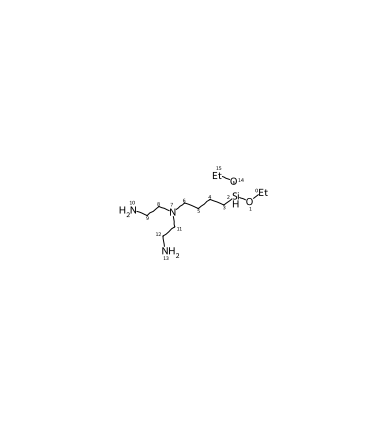 CCO[SiH](CCCCN(CCN)CCN)OCC